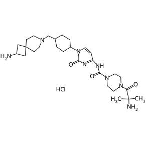 CC(C)(N)C(=O)N1CCN(C(=O)Nc2ccn(C3CCC(CN4CCC5(CC4)CC(N)C5)CC3)c(=O)n2)CC1.Cl